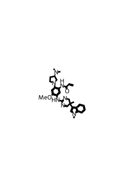 C=CC(=O)Nc1cc(NC2=NCC(C)(c3cn(C)c4ccccc34)C=N2)c(OC)cc1N1CC[C@@H](N(C)C)C1